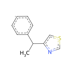 CC(c1cc[c]cc1)c1cscn1